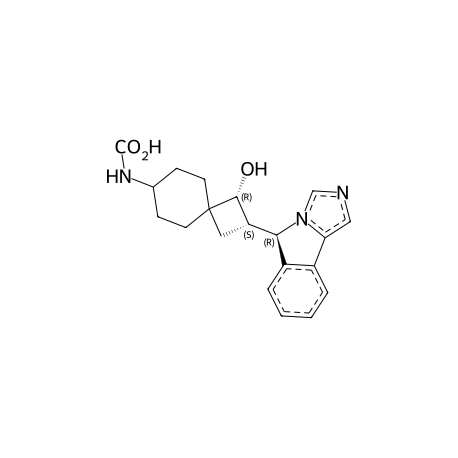 O=C(O)NC1CCC2(CC1)C[C@@H]([C@@H]1c3ccccc3-c3cncn31)[C@H]2O